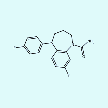 NC(=O)N1CCCC(c2ccc(F)cc2)c2ccc(F)cc21